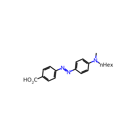 CCCCCCN(C)c1ccc(N=Nc2ccc(C(=O)O)cc2)cc1